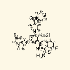 N#Cc1c(N)sc2c(F)ccc(-c3c(Cl)cc4c(N5CCC(C(=O)N6C7CCC6COC7)CC5)nc(OC[C@@]56CCCN5C[C@H](F)C6)nc4c3F)c12